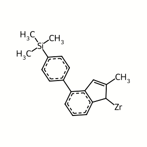 CC1=Cc2c(-c3ccc([Si](C)(C)C)cc3)cccc2[CH]1[Zr]